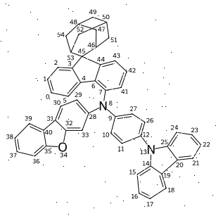 c1ccc2c(c1)-c1c(N(c3ccc(-n4c5ccccc5c5ccccc54)cc3)c3ccc4c(c3)oc3ccccc34)cccc1C21C2CC3CC(C2)CC1C3